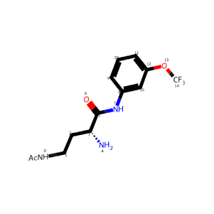 CC(=O)NCC[C@@H](N)C(=O)Nc1cccc(OC(F)(F)F)c1